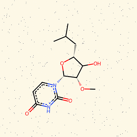 CO[C@H]1C(O)[C@@H](CC(C)C)O[C@H]1n1ccc(=O)[nH]c1=O